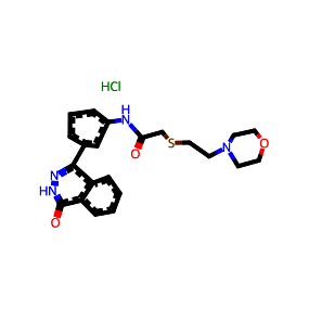 Cl.O=C(CSCCN1CCOCC1)Nc1cccc(-c2n[nH]c(=O)c3ccccc23)c1